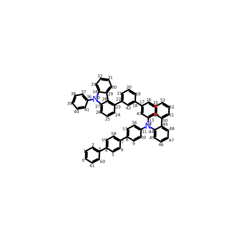 c1ccc(-c2ccc(-c3ccc(N(c4cccc(-c5cccc(-c6cccc7c6c6ccccc6n7-c6ccccc6)c5)c4)c4ccccc4-c4ccccc4)cc3)cc2)cc1